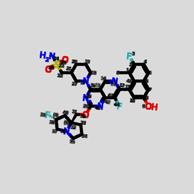 Cc1c(F)ccc2cc(O)cc(-c3ncc4c(N5CCCC(CS(N)(=O)=O)C5)nc(OC[C@@]56CCCN5C[C@H](F)C6)nc4c3F)c12